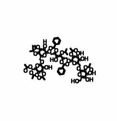 CC(=O)OC[C@H]1O[C@@H](OC[C@H]2O[C@@H](OC[C@@H](OC(=O)c3ccccc3)[C@@H](O)[C@H](OC(C)C)[C@@H](CO[C@@H]3O[C@H](CO[C@@H]4O[C@H](CO)[C@@H](O)[C@H](O)[C@H]4OC(C)=O)[C@@H](O)[C@H](O)[C@H]3OC(C)=O)OC(=O)c3ccccc3)[C@H](O)[C@@H](O)[C@@H]2OC(C)=O)[C@H](O)[C@@H](OC(C)=O)[C@@H]1OC(C)=O